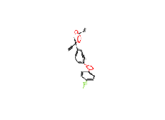 C#CC(C)(OC(=O)CC)c1ccc(Oc2ccc(F)cc2)cc1